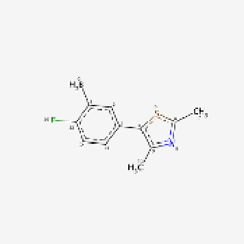 Bc1cc(-c2sc(C)nc2C)ccc1F